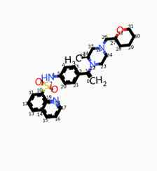 C=C(c1ccc(NS(=O)(=O)c2cccc3cccnc23)cc1)N1CCN(CC2CCCCO2)C[C@@H]1C